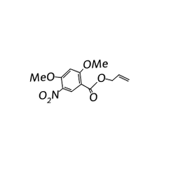 C=CCOC(=O)c1cc([N+](=O)[O-])c(OC)cc1OC